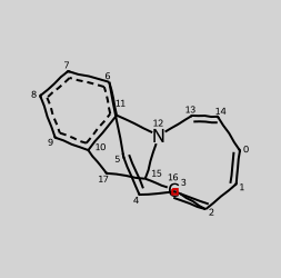 C1=C\C2=C/C=C\c3cccc4c3N(\C=C/1)C(C2)C4